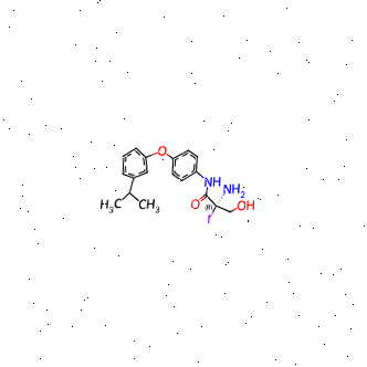 CC(C)c1cccc(Oc2ccc(NC(=O)[C@](N)(I)CO)cc2)c1